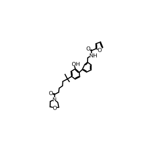 CC(C)(CCCCC(=O)N1CCOCC1)c1ccc(-c2cccc(CNC(=O)c3ccco3)c2)c(O)c1